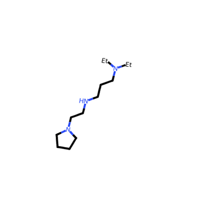 CCN(CC)CCCNCCN1CCCC1